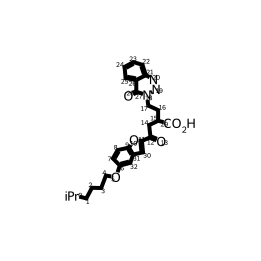 CC(C)CCCCOc1ccc2oc(C(=O)CC(CCn3nnc4ccccc4c3=O)C(=O)O)cc2c1